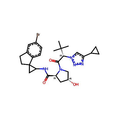 CC(C)(C)[C@@H](C(=O)N1C[C@H](O)C[C@H]1C(=O)NC1CC12CCc1cc(Br)ccc12)n1cc(C2CC2)nn1